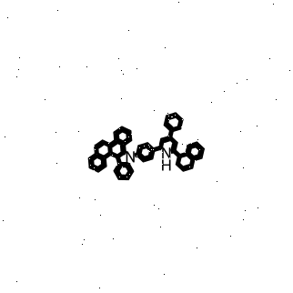 C1=CCCC(C2=CC(c3ccc(N4C5=c6ccccc6=C6C=Cc7ccccc7C6C5c5ccccc54)cc3)NC(C3CC=Cc4ccccc43)=C2)=C1